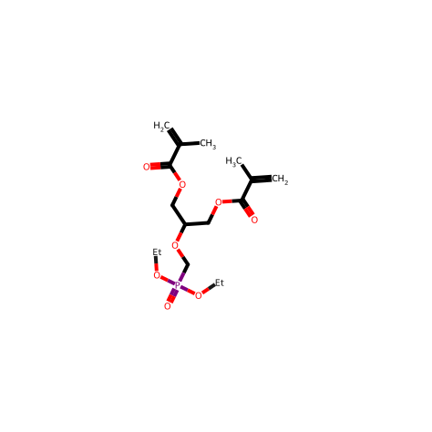 C=C(C)C(=O)OCC(COC(=O)C(=C)C)OCP(=O)(OCC)OCC